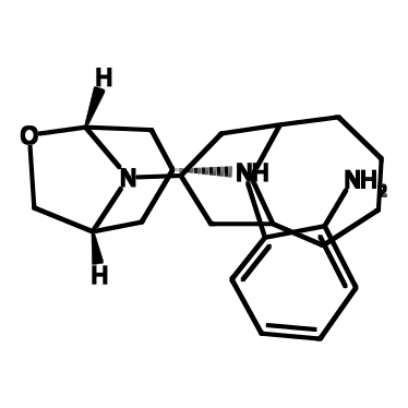 Nc1ccccc1N[C@@H]1C[C@@H]2CO[C@H](C1)N2C1CC2CCCCC(C2)C1